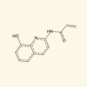 C=CC(=O)Nc1ccc2cccc(O)c2n1